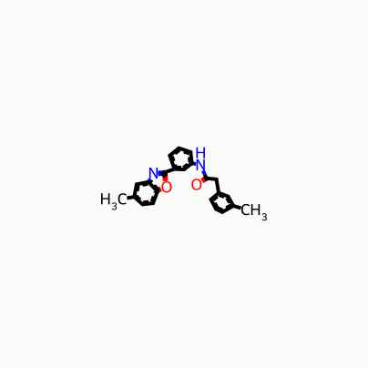 Cc1cccc(CC(=O)Nc2cccc(-c3nc4cc(C)ccc4o3)c2)c1